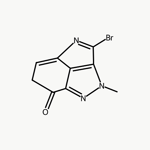 Cn1nc2c3c1C(Br)=NC3=CCC2=O